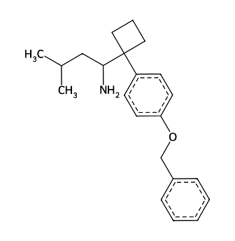 CC(C)CC(N)C1(c2ccc(OCc3ccccc3)cc2)CCC1